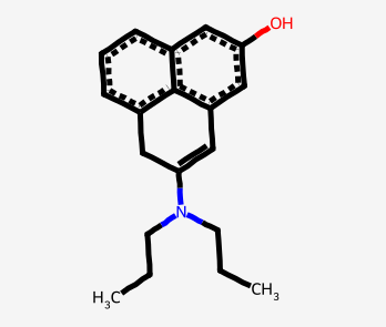 CCCN(CCC)C1=Cc2cc(O)cc3cccc(c23)C1